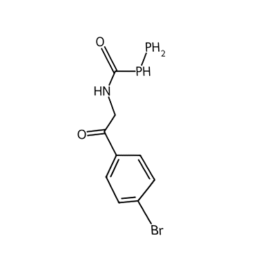 O=C(NCC(=O)c1ccc(Br)cc1)PP